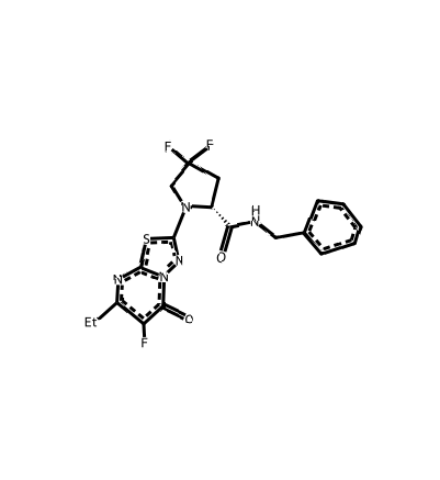 CCc1nc2sc(N3CC(F)(F)C[C@@H]3C(=O)NCc3ccccc3)nn2c(=O)c1F